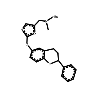 CCCCN(C)Cc1cnc(Oc2ccc3c(c2)CCC(c2ccccc2)O3)s1